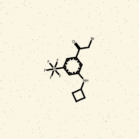 O=C(CBr)c1cc(NC2CCC2)cc(S(F)(F)(F)(F)F)c1